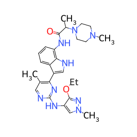 CCOc1nn(C)cc1Nc1ncc(C)c(-c2c[nH]c3c(NC(=O)C(C)N4CCN(C)CC4)cccc23)n1